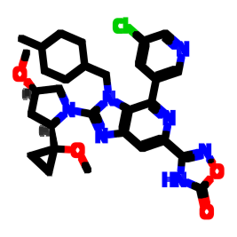 CO[C@@H]1C[C@H](C2(OC)CC2)N(c2nc3cc(-c4noc(=O)[nH]4)nc(-c4cncc(Cl)c4)c3n2CC2CCC(C)CC2)C1